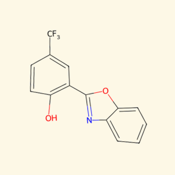 Oc1ccc(C(F)(F)F)cc1-c1nc2ccccc2o1